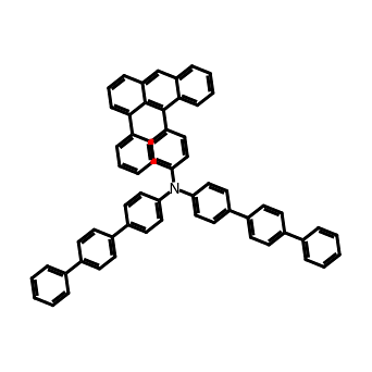 c1ccc(-c2ccc(-c3ccc(N(c4ccc(-c5ccc(-c6ccccc6)cc5)cc4)c4ccc(-c5c6ccccc6cc6cccc(-c7ccccc7)c56)cc4)cc3)cc2)cc1